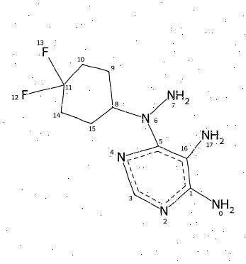 Nc1ncnc(N(N)C2CCC(F)(F)CC2)c1N